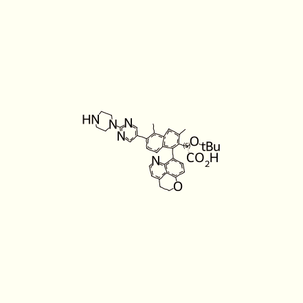 Cc1cc2c(C)c(-c3cnc(N4CCNCC4)nc3)ccc2c(-c2ccc3c4c(ccnc24)CCO3)c1[C@H](OC(C)(C)C)C(=O)O